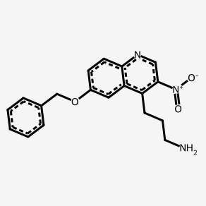 NCCCc1c([N+](=O)[O-])cnc2ccc(OCc3ccccc3)cc12